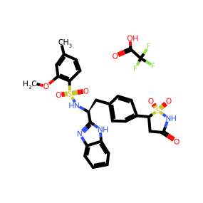 COc1cc(C)ccc1S(=O)(=O)N[C@@H](Cc1ccc(C2CC(=O)NS2(=O)=O)cc1)c1nc2ccccc2[nH]1.O=C(O)C(F)(F)F